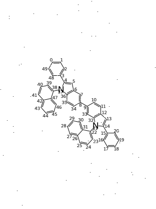 c1ccc(-c2cc3cc(-c4ccc5cc(-c6ccccc6)n(-c6cccc7ccccc67)c5c4)ccc3n2-c2cccc3ccccc23)cc1